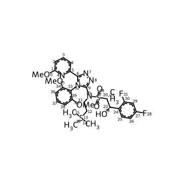 COc1cccc(-c2nnc(N(CCS(C)(C)C)S(=O)(=O)[C@H](C)[C@H](O)c3ccc(F)cc3F)n2-c2c(OC)cccc2OC)n1